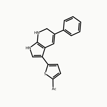 CC(=O)c1ccc(-c2c[nH]c3c2C=C(c2ccccc2)CN3)s1